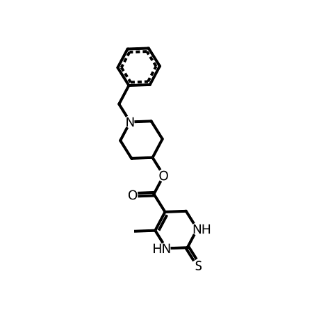 CC1=C(C(=O)OC2CCN(Cc3ccccc3)CC2)CNC(=S)N1